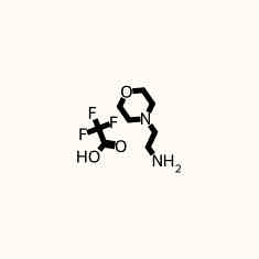 NCCN1CCOCC1.O=C(O)C(F)(F)F